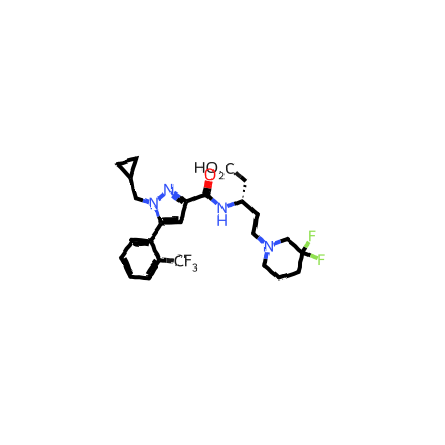 O=C(O)C[C@H](CCN1CCCC(F)(F)C1)NC(=O)c1cc(-c2ccccc2C(F)(F)F)n(CC2CC2)n1